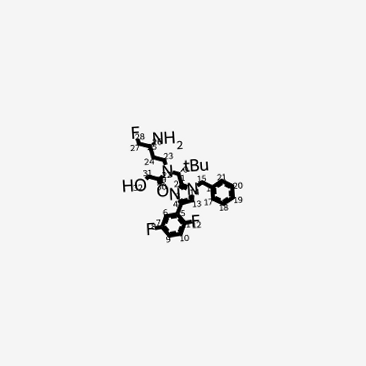 CC(C)(C)[C@H](c1nc(-c2cc(F)ccc2F)cn1Cc1ccccc1)N(CC[C@@H](N)CF)C(=O)CO